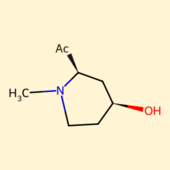 CC(=O)[C@H]1C[C@@H](O)CCN1C